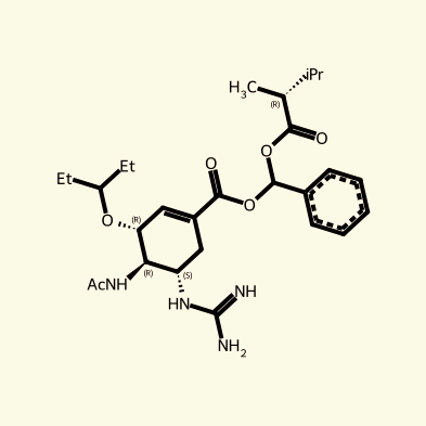 CCC(CC)O[C@@H]1C=C(C(=O)OC(OC(=O)[C@H](C)C(C)C)c2ccccc2)C[C@H](NC(=N)N)[C@H]1NC(C)=O